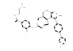 COc1cc(C(=O)N(C)CCN(C)C)ccc1NC1=C/C=C/C2=C(/C=N\1)CCc1nn(C)c(-c3ccc(-c4cnn(C)c4)cc3)c12